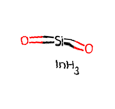 O=[Si]=O.[InH3]